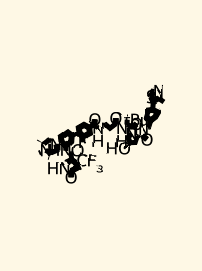 Cc1ncsc1-c1ccc(CNC(=O)[C@@H]2C[C@@H](O)CN2C(=O)C(NC(=O)CCNC(=O)c2ccc(-c3ccc(N4C[C@@H](C)N(C)[C@@H](C)C4)c(NC(=O)c4c[nH]c(=O)cc4C(F)(F)F)c3)c(F)c2)C(C)(C)C)cc1